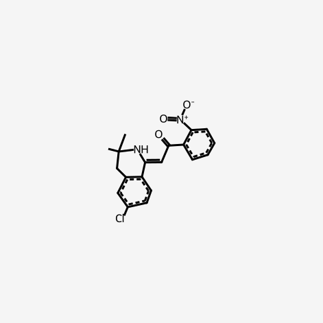 CC1(C)Cc2cc(Cl)ccc2C(=CC(=O)c2ccccc2[N+](=O)[O-])N1